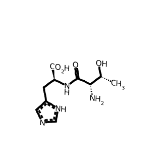 C[C@@H](O)[C@H](N)C(=O)N[C@@H](Cc1cnc[nH]1)C(=O)O